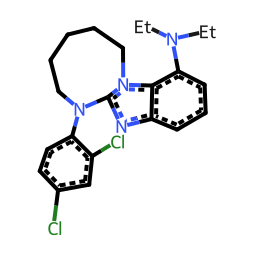 CCN(CC)c1cccc2nc3n(c12)CCCCCN3c1ccc(Cl)cc1Cl